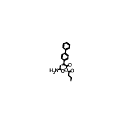 CCCC(=O)OC(=O)[C@H](CC(N)=O)c1ccc(-c2ccccc2)cc1